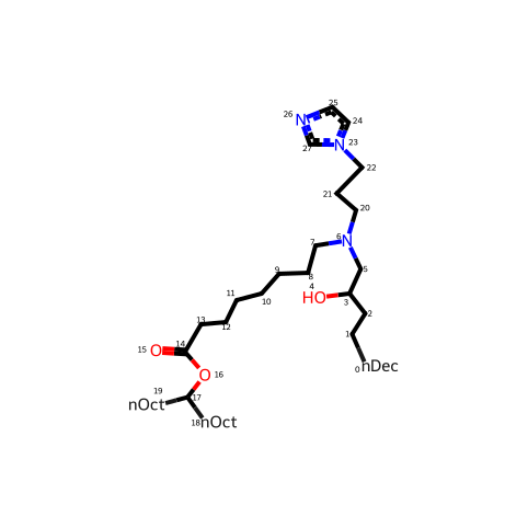 CCCCCCCCCCCCC(O)CN(CCCCCCCC(=O)OC(CCCCCCCC)CCCCCCCC)CCCn1ccnc1